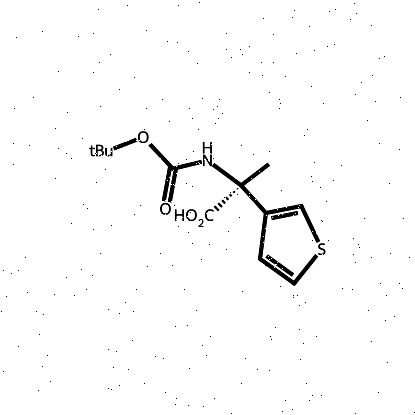 CC(C)(C)OC(=O)N[C@](C)(C(=O)O)c1ccsc1